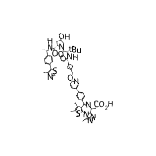 Cc1ncsc1-c1ccc([C@H](C)NC(=O)[C@@H]2C[C@@H](O)CN2C(=O)[C@@H](NC(=O)C23CC(COc4ccc(-c5ccc(C6=N[C@@H](CC(=O)O)c7nnc(C)n7-c7sc(C)c(C)c76)cc5)cn4)(C2)C3)C(C)(C)C)cc1